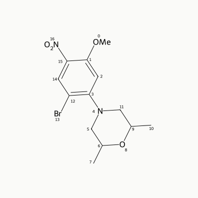 COc1cc(N2CC(C)OC(C)C2)c(Br)cc1[N+](=O)[O-]